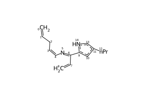 C=CC/C=C\N=C(/C=C)c1cc(CCC)c[nH]1